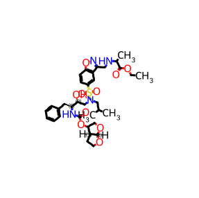 CCOC(=O)C(C)NCc1noc2ccc(S(=O)(=O)N(CC(C)C)C[C@@H](O)[C@H](Cc3ccccc3)NC(=O)OC3CO[C@H]4OCC[C@@H]34)cc12